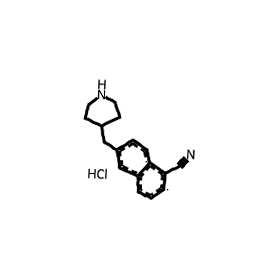 Cl.N#Cc1[c]ccc2cc(CC3CCNCC3)ccc12